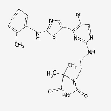 Cc1ccccc1Nc1ncc(-c2nc(NCCN3C(=O)NC(=O)C3(C)C)ncc2Br)s1